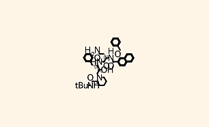 CC(C)(C)NC(=O)[C@@H]1CCCCN1C[C@@H](O)[C@H](Cc1ccccc1)NC(=O)[C@H](CC(N)=O)NC(=O)c1ccc2ccccc2c1OCc1ccccc1